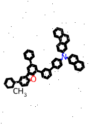 CC1CC=CC=C1c1ccc2oc3c(-c4cccc(-c5ccc(N(c6ccc7ccccc7c6)c6ccc7c(ccc8ccccc87)c6)cc5)c4)cc(-c4ccccc4)cc3c2c1